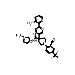 Cc1cccnc1-c1ccc(C2(C(=O)N[C@@H]3CCN(C)C3)CCN(c3ccc(C(F)(F)F)cc3C#N)CC2)cn1